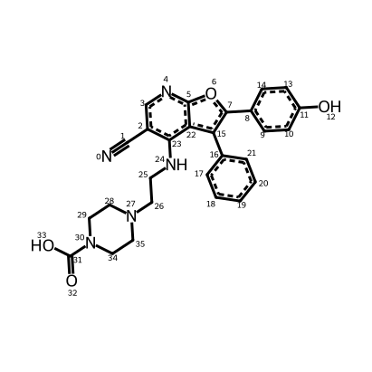 N#Cc1cnc2oc(-c3ccc(O)cc3)c(-c3ccccc3)c2c1NCCN1CCN(C(=O)O)CC1